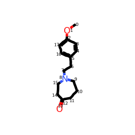 COc1ccc(CCN2CCCC(=O)CC2)cc1